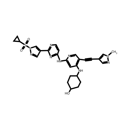 Cn1cc(C#Cc2cnc(Nc3ccnc(-c4cnn(S(=O)(=O)C5CC5)c4)n3)cc2NC2CCC(O)CC2)cn1